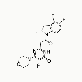 C[C@@H]1Cc2c(ccc(F)c2F)N1C(=O)Cc1nc(N2CCOCC2)c(F)c(=O)[nH]1